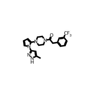 Cc1cc(-n2cccc2N2CCN(C(=O)Cc3cccc(C(F)(F)F)c3)CC2)n[nH]1